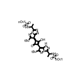 CCCCCCCCS(=O)(=O)NC(C)c1n[nH]c2c(C3=C(O)/C(=c4/c(C(C)(C)C)nn5c(C(C)NS(=O)(=O)CCCCCCCC)nnc45)C3=O)c(C(C)(C)C)nn12